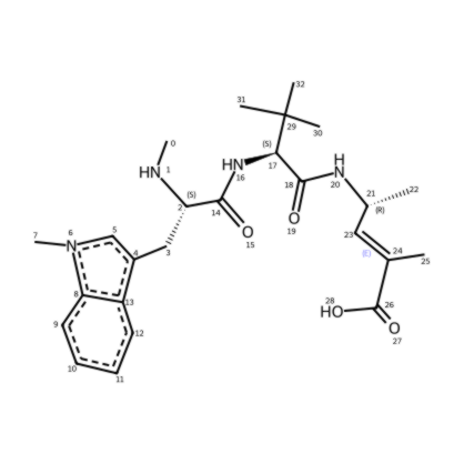 CN[C@@H](Cc1cn(C)c2ccccc12)C(=O)N[C@H](C(=O)N[C@H](C)/C=C(\C)C(=O)O)C(C)(C)C